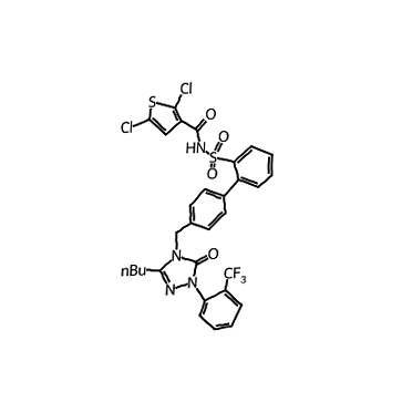 CCCCc1nn(-c2ccccc2C(F)(F)F)c(=O)n1Cc1ccc(-c2ccccc2S(=O)(=O)NC(=O)c2cc(Cl)sc2Cl)cc1